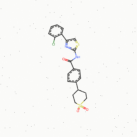 O=C(Nc1nc(-c2ccccc2Cl)cs1)c1ccc(C2CCS(=O)(=O)CC2)cc1